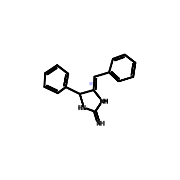 N=C1N/C(=C\c2ccccc2)C(c2ccccc2)N1